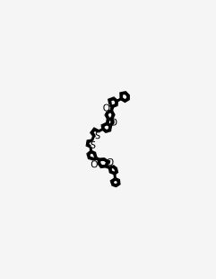 c1ccc(-c2ccc3oc4cc5c(cc4c3c2)oc2ccc(-c3ccc(-c4ccc(-c6ccc7oc8cc9c(cc8c7c6)oc6ccc(-c7ccccc7)cc69)s4)s3)cc25)cc1